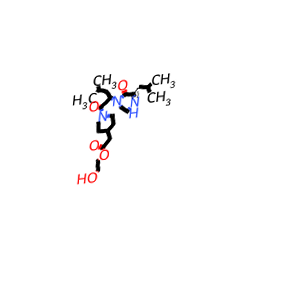 CC(C)CC(C(=O)N1CCC(CC(=O)OCCO)CC1)N1CCN[C@@H](CC(C)C)C1=O